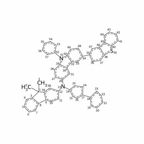 CC1(C)c2ccccc2-c2ccc(N(c3ccc(-c4ccccc4)cc3)c3ccc4c(c3)c3cc(-c5ccc6sc7ccccc7c6c5)ccc3n4-c3ccccc3)cc21